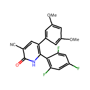 COc1cc(OC)cc(-c2cc(C#N)c(=O)[nH]c2-c2c(F)cc(F)cc2F)c1